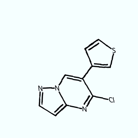 Clc1nc2ccnn2cc1-c1ccsc1